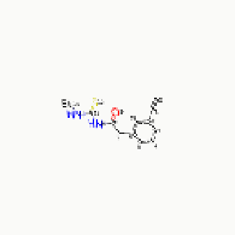 C#Cc1cccc(CC(=O)NC(=S)NCC)c1